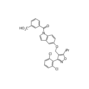 CC(C)c1onc(-c2c(Cl)cccc2Cl)c1COc1ccc2c(ccn2C(=O)c2cccc(C(=O)O)c2)c1